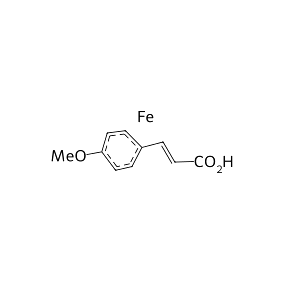 COc1ccc(C=CC(=O)O)cc1.[Fe]